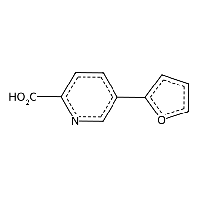 O=C(O)c1ccc(-c2ccco2)cn1